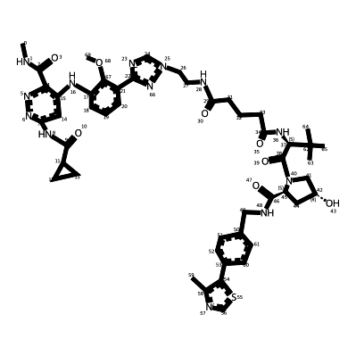 CNC(=O)c1nnc(NC(=O)C2CC2)cc1Nc1cccc(-c2ncn(CCNC(=O)CCCC(=O)N[C@H](C(=O)N3C[C@H](O)C[C@H]3C(=O)NCc3ccc(-c4scnc4C)cc3)C(C)(C)C)n2)c1OC